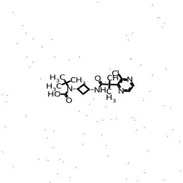 CC(C)(C(=O)N[C@H]1C[C@@H](N(C(=O)O)C(C)(C)C)C1)c1nccnc1Cl